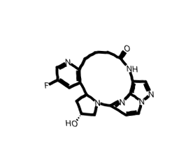 O=C1CCCc2ncc(F)cc2C2C[C@@H](O)CN2c2ccn3ncc(c3n2)N1